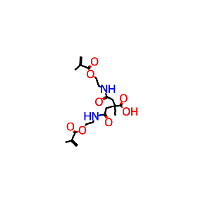 C=C(C)C(=O)OCCNC(=O)CC(C)(CC(=O)NCCOC(=O)C(=C)C)C(=O)O